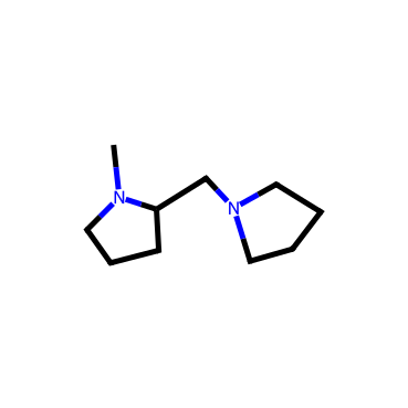 CN1CCCC1CN1CCCC1